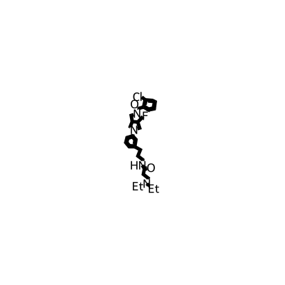 CCN(CC)CCC(=O)NCCCc1cccc(N2CC3CN(C(=O)c4c(F)cccc4Cl)CC3C2)c1